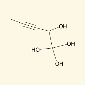 CC#CC(O)C(O)(O)O